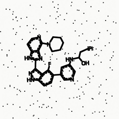 CC(C)CC(O)Nc1cncc(-c2ccc3[nH]nc(-c4nc5c(N6CCCCC6)nccc5[nH]4)c3c2F)c1